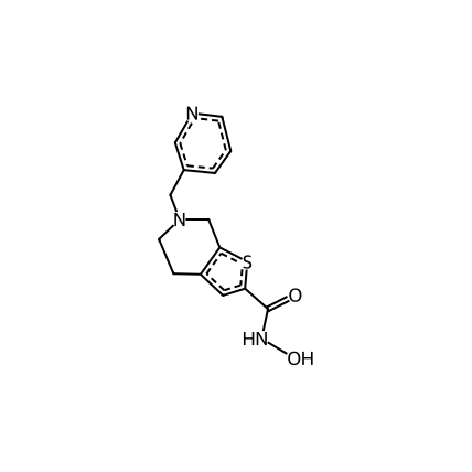 O=C(NO)c1cc2c(s1)CN(Cc1cccnc1)CC2